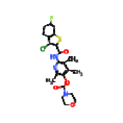 Cc1nc(NC(=O)c2sc3cc(F)ccc3c2Cl)c(C)c(C)c1OC(=O)N1CCOCC1